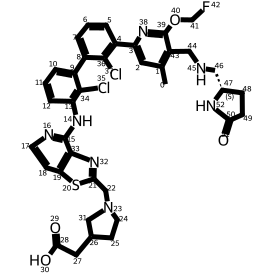 Cc1cc(-c2cccc(-c3cccc(Nc4nccc5sc(CN6CCC(CC(=O)O)C6)nc45)c3Cl)c2Cl)nc(OCF)c1CNC[C@@H]1CCC(=O)N1